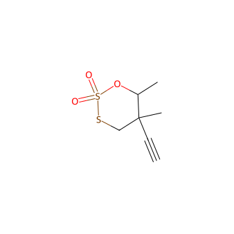 C#CC1(C)CSS(=O)(=O)OC1C